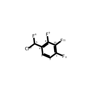 Fc1ccc(C(F)Cl)c(F)c1F